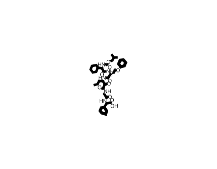 CCCC(NC(=O)[C@H](CCOc1ccccc1)NC(=O)[C@@H](NC(=O)OCC(C)C)C1CCCCC1)C(=O)C(=O)NCC(=O)N[C@H](C(=O)O)c1ccccc1